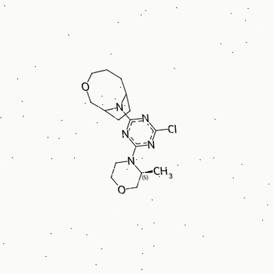 C[C@H]1COCCN1c1nc(Cl)nc(N2C3CCCOCC2CC3)n1